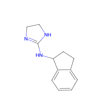 c1ccc2c(c1)CCC2NC1=NCCN1